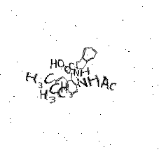 CC(=O)Nc1ccc(C)c(C=C(C)C)c1C(=O)NC1(C(=O)O)Cc2ccccc2C1